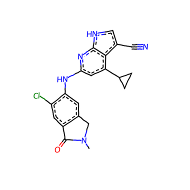 CN1Cc2cc(Nc3cc(C4CC4)c4c(C#N)c[nH]c4n3)c(Cl)cc2C1=O